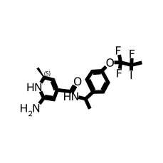 CC(NC(=O)C1=C[C@H](C)NC(N)=C1)c1ccc(OC(F)(F)C(C)(F)I)cc1